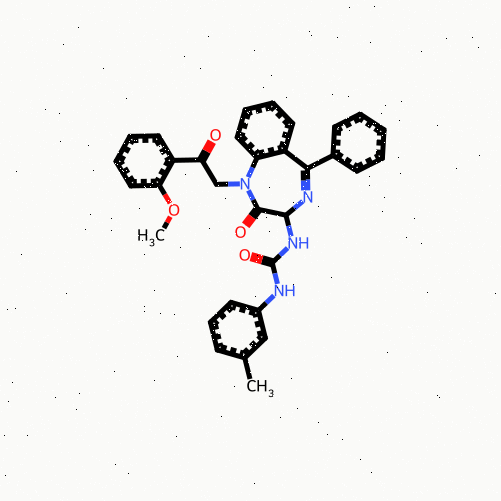 COc1ccccc1C(=O)CN1C(=O)C(NC(=O)Nc2cccc(C)c2)N=C(c2ccccc2)c2ccccc21